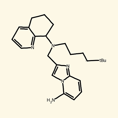 CC(C)(C)[CH]CCCN(Cc1cn2c(N)cccc2n1)C1CCCc2cccnc21